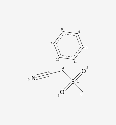 CS(=O)(=O)CC#N.c1ccccc1